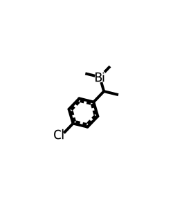 C[CH](c1ccc(Cl)cc1)[Bi]([CH3])[CH3]